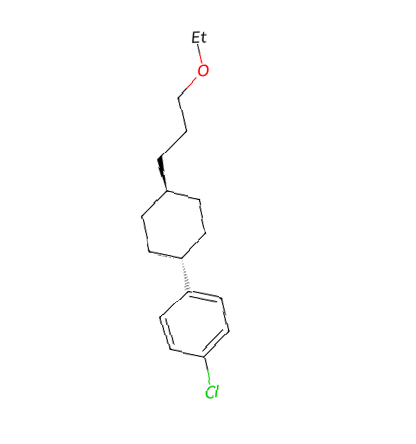 CCOCCC[C@H]1CC[C@H](c2ccc(Cl)cc2)CC1